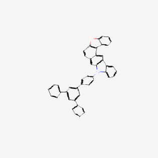 c1ccc(-c2cc(-c3ccccc3)cc(-c3ccc(-n4c5ccccc5c5cc6c(ccc7oc8ccccc8c76)cc54)cc3)c2)cc1